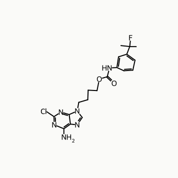 CC(C)(F)c1cccc(NC(=O)OCCCCn2cnc3c(N)nc(Cl)nc32)c1